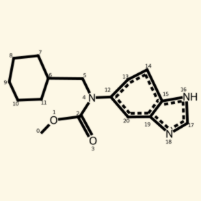 COC(=O)N(CC1CCCCC1)c1ccc2[nH]cnc2c1